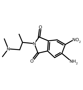 CC(CN(C)C)N1C(=O)c2cc(N)c([N+](=O)[O-])cc2C1=O